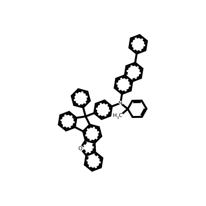 CC1(N(c2ccc(C3(c4ccccc4)c4ccccc4-c4c3ccc3c4oc4ccccc43)cc2)c2ccc3cc(-c4ccccc4)ccc3c2)C=CC=CC1